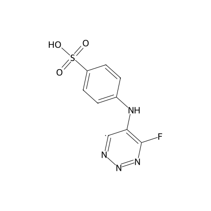 O=S(=O)(O)c1ccc(Nc2[c]nnnc2F)cc1